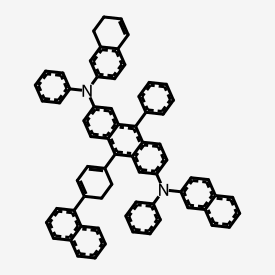 C1=Cc2ccc(N(c3ccccc3)c3ccc4c(C5=CC=C(c6cccc7ccccc67)CC5)c5cc(N(c6ccccc6)c6ccc7ccccc7c6)ccc5c(-c5ccccc5)c4c3)cc2CC1